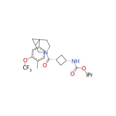 Cc1ccc(C23CCN(C(=O)[C@H]4C[C@@H](NC(=O)OC(C)C)C4)CC2C3)cc1OC(F)(F)F